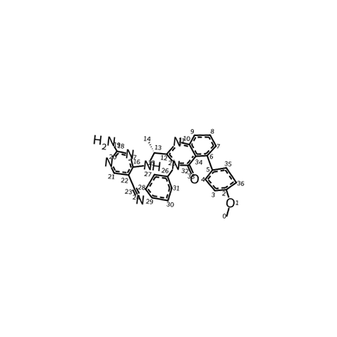 COc1ccc(-c2cccc3nc([C@@H](C)Nc4nc(N)ncc4C#N)n(-c4ccccc4)c(=O)c23)cc1